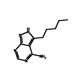 CCCCCc1[nH]nc2ncnc(N)c12